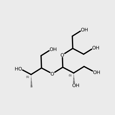 C[C@H](O)C(CO)OC(OC(CO)CO)[C@@H](O)CO